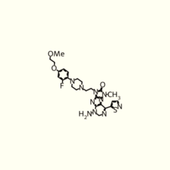 COCCOc1ccc(N2CCN(CCn3c(=O)n(C)n4c5c(nc34)N(N)CN=C5c3ccns3)CC2)c(F)c1